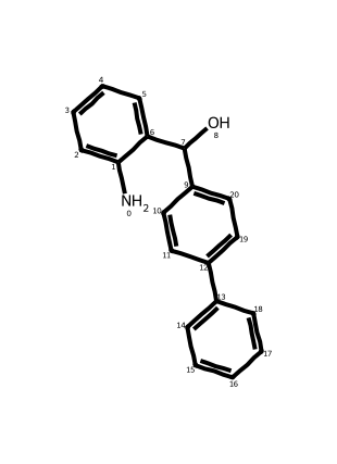 Nc1ccccc1C(O)c1ccc(-c2ccccc2)cc1